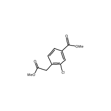 COC(=O)Cc1ccc(C(=O)OC)cc1Cl